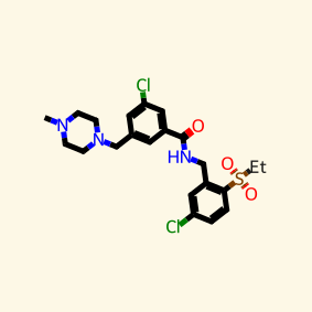 CCS(=O)(=O)c1ccc(Cl)cc1CNC(=O)c1cc(Cl)cc(CN2CCN(C)CC2)c1